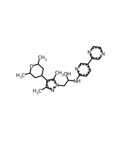 Cc1nn(CC(O)Nc2ccc(-c3cnccn3)cn2)c(C)c1C1CC(C)OC(C)C1